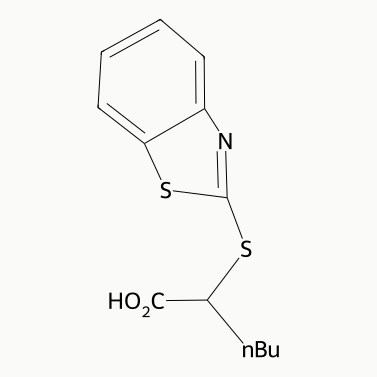 CCCCC(Sc1nc2ccccc2s1)C(=O)O